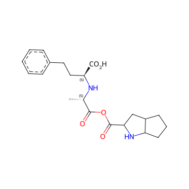 C[C@H](N[C@@H](CCc1ccccc1)C(=O)O)C(=O)OC(=O)C1CC2CCCC2N1